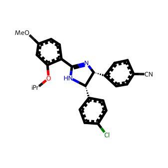 COc1ccc(C2=N[C@H](c3ccc(C#N)cc3)[C@H](c3ccc(Cl)cc3)N2)c(OC(C)C)c1